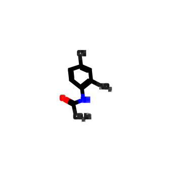 CCOC(=O)C(=O)Nc1ccc(C#N)cc1[N+](=O)[O-]